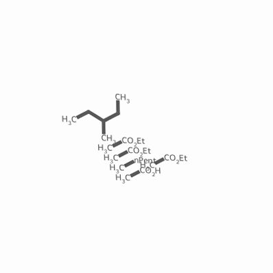 CC(=O)O.CCC(C)CC.CCCCCC.CCOC(C)=O.CCOC(C)=O.CCOC(C)=O